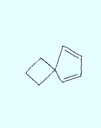 C1=CC2(C=C1)CCC2